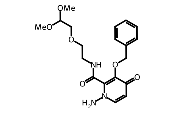 COC(COCCNC(=O)c1c(OCc2ccccc2)c(=O)ccn1N)OC